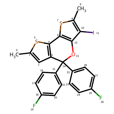 Cc1cc2c(s1)-c1sc(C)c(I)c1OC2(c1ccc(F)cc1)c1ccc(F)cc1